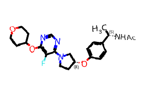 CC(=O)N[C@@H](C)c1ccc(O[C@@H]2CCN(c3ncnc(OC4CCOCC4)c3F)C2)cc1